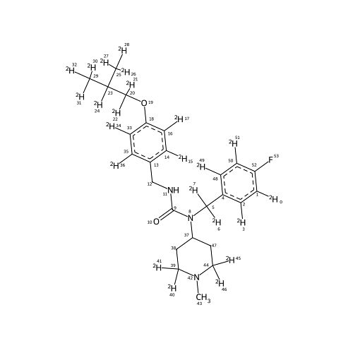 [2H]c1c([2H])c(C([2H])([2H])N(C(=O)NCc2c([2H])c([2H])c(OC([2H])([2H])C([2H])(C([2H])([2H])[2H])C([2H])([2H])[2H])c([2H])c2[2H])C2CC([2H])([2H])N(C)C([2H])([2H])C2)c([2H])c([2H])c1F